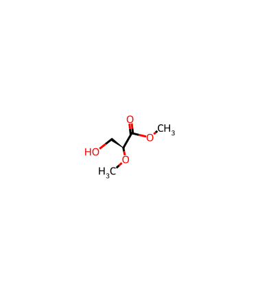 COC(=O)[C@H](CO)OC